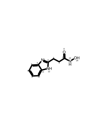 O=C(CCc1nc2ccccc2[nH]1)NO